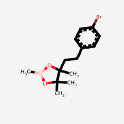 CB1OC(C)(C)C(C)(CCc2ccc(Br)cc2)O1